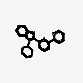 C1=CCC(n2c(-c3cccc(-c4ccccn4)n3)nc3ccccc32)CC1